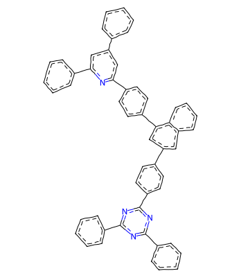 c1ccc(-c2cc(-c3ccccc3)nc(-c3ccc(-c4cc(-c5ccc(-c6nc(-c7ccccc7)nc(-c7ccccc7)n6)cc5)cc5ccccc45)cc3)c2)cc1